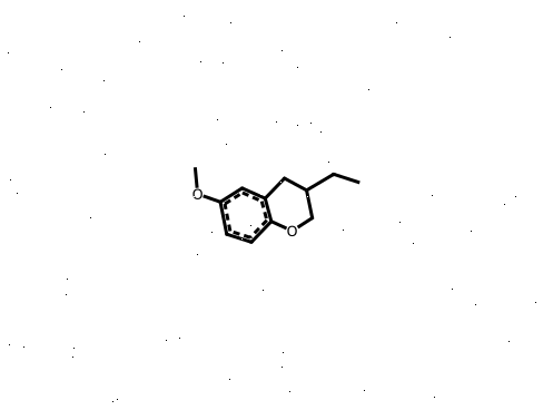 CCC1COc2ccc(OC)cc2C1